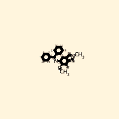 COc1c(N=C(c2ccccc2)c2ccccc2)cc2cn(C)nc2c1F